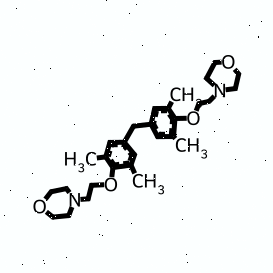 Cc1cc(Cc2cc(C)c(OCCN3CCOCC3)c(C)c2)cc(C)c1OCCN1CCOCC1